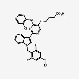 CCOc1cc(F)c(Cn2nc(-c3ncc(OCCCC(=O)O)c(Nc4ccncc4Cl)n3)c3ccccc32)c(F)c1